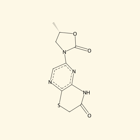 C[C@H]1CN(c2cnc3c(n2)NC(=O)CS3)C(=O)O1